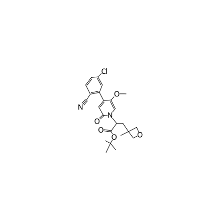 COc1cn(C(CC2(C)COC2)C(=O)OC(C)(C)C)c(=O)cc1-c1cc(Cl)ccc1C#N